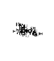 CCC(CC)(C1CCC(N[C@@H](CC(=O)O)C(=O)O)C(C)C1)C1CCC(CC)(N[C@@H](CC(=O)O)C(=O)O)C(C)(CC)C1